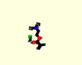 C=C(C)C(=O)OCCN(CC)CC.CCl